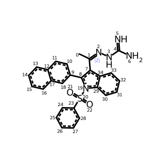 C/C(=N/NC(=N)N)c1c(-c2ccc3ccccc3c2)n(S(=O)(=O)c2ccccc2)c2ccccc12